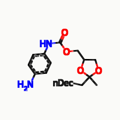 CCCCCCCCCCCC1(C)OCC(COC(=O)Nc2ccc(N)cc2)O1